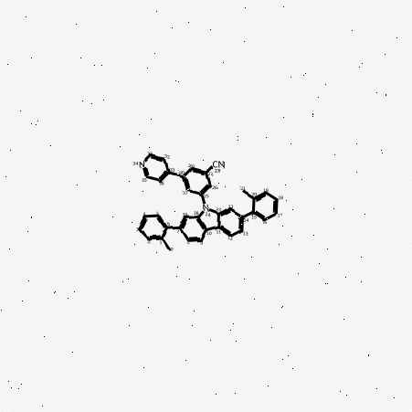 Cc1ccccc1-c1ccc2c3ccc(-c4ccccc4C)cc3n(-c3cc(C#N)cc(-c4ccncc4)c3)c2c1